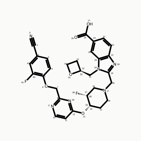 N#Cc1ccc(OCc2nccc(O[C@H]3CCN(Cc4nc5ccc(C(=O)O)cc5n4C[C@@H]4CCO4)C[C@H]3F)n2)c(F)c1